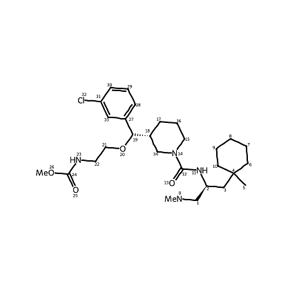 CNC[C@H](CC1(C)CCCCC1)NC(=O)N1CCC[C@@H](C(OCCNC(=O)OC)c2cccc(Cl)c2)C1